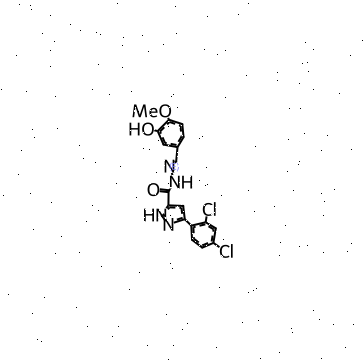 COc1ccc(/C=N/NC(=O)c2cc(-c3ccc(Cl)cc3Cl)n[nH]2)cc1O